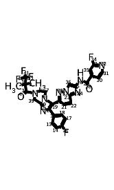 CC(C)(C(=O)N1CCn2c(nc(-c3ccc(F)cc3)c2-c2ccc3nc(NC(=O)c4ccnc(F)c4)cn3n2)C1)C(F)(F)F